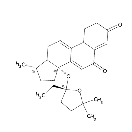 CC[C@]1(O[C@]23CC[C@H](C)C2CC=C2C3=CC(=O)C3=CC(=O)CCC32)CCC(C)(C)O1